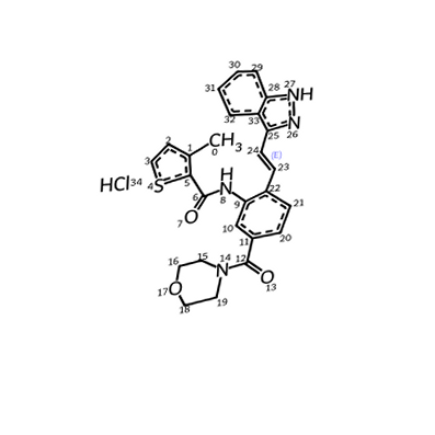 Cc1ccsc1C(=O)Nc1cc(C(=O)N2CCOCC2)ccc1/C=C/c1n[nH]c2ccccc12.Cl